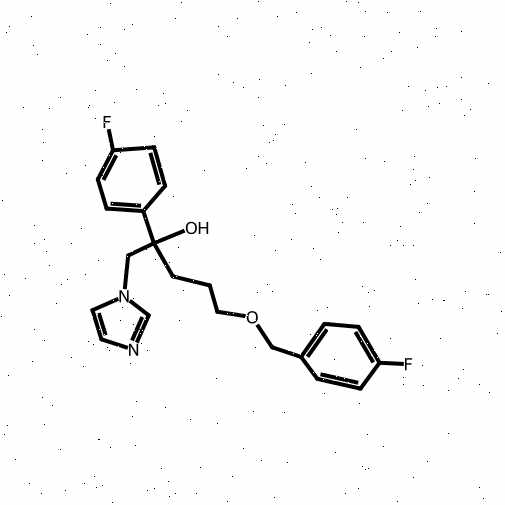 OC(CCCOCc1ccc(F)cc1)(Cn1ccnc1)c1ccc(F)cc1